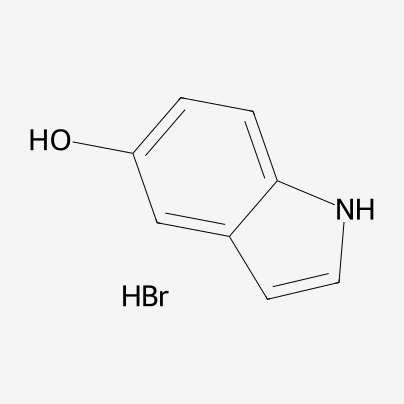 Br.Oc1ccc2[nH]ccc2c1